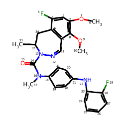 COc1cc(F)c2c(c1OC)C=NN(C(=O)N(C)c1ccc(Nc3ccccc3F)cc1)C(C)C2